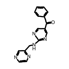 O=C(c1ccccc1)c1cnc(NCc2cnccn2)nc1